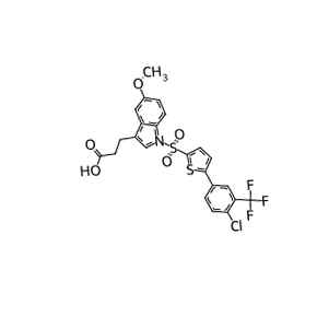 COc1ccc2c(c1)c(CCC(=O)O)cn2S(=O)(=O)c1ccc(-c2ccc(Cl)c(C(F)(F)F)c2)s1